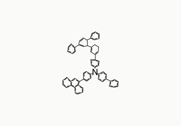 C1=CC(c2ccccc2)C(C2=CC(c3ccc(N(c4ccc(-c5ccccc5)cc4)c4ccc(-c5cc6ccccc6c6ccccc56)cc4)cc3)=CCC2)C=C1c1ccccc1